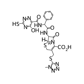 Cn1nnnc1SCC1=C(C(=O)O)N2C(=O)C(NC(=O)C(NC(=O)c3nnc(S)nc3O)c3ccccc3)[C@H]2SC1